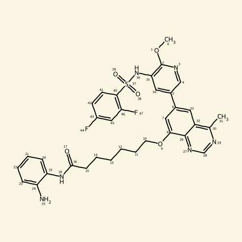 COc1ncc(-c2cc(OCCCCCCC(=O)Nc3ccccc3N)c3ncnc(C)c3c2)cc1NS(=O)(=O)c1ccc(F)cc1F